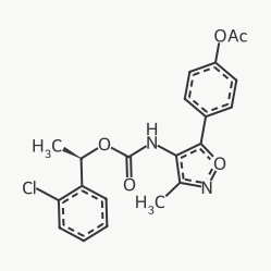 CC(=O)Oc1ccc(-c2onc(C)c2NC(=O)O[C@H](C)c2ccccc2Cl)cc1